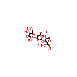 OCC1O[C@H](OC2C(O)[C@H](I)O[C@H]2[C@H](O)CO)C(O)C(O[C@@H]2OC(CO)[C@H](O)[C@H](OI)C2O)[C@H]1O